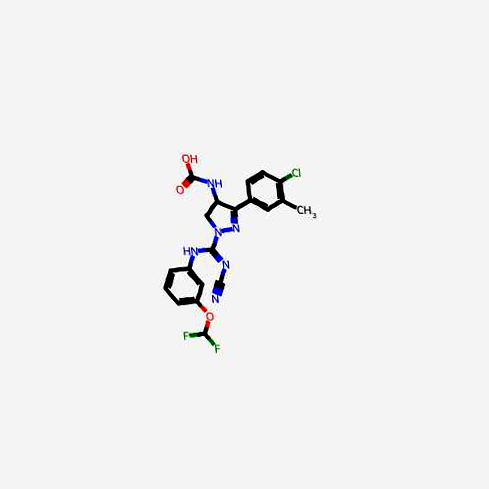 Cc1cc(C2=NN(C(=NC#N)Nc3cccc(OC(F)F)c3)CC2NC(=O)O)ccc1Cl